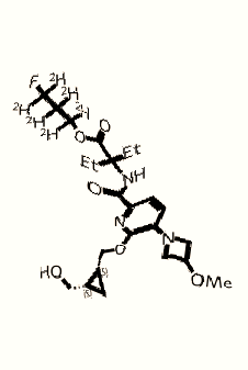 [2H]C([2H])(F)C([2H])([2H])C([2H])([2H])OC(=O)C(CC)(CC)NC(=O)c1ccc(N2CC(OC)C2)c(OC[C@H]2C[C@@H]2CO)n1